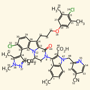 Cc1ccc2c(c1)c(N1C[C@@H](C)n3c(c(CCCOc4cc(C)c(Cl)c(C)c4)c4ccc(Cl)c(-c5c(C)nn(C)c5C)c43)C1=O)c(C(=O)O)n2Cc1cc(C#N)ccn1